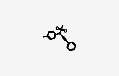 Cc1ccc(N(C#Cc2ccccc2)S(C)(=O)=O)cc1